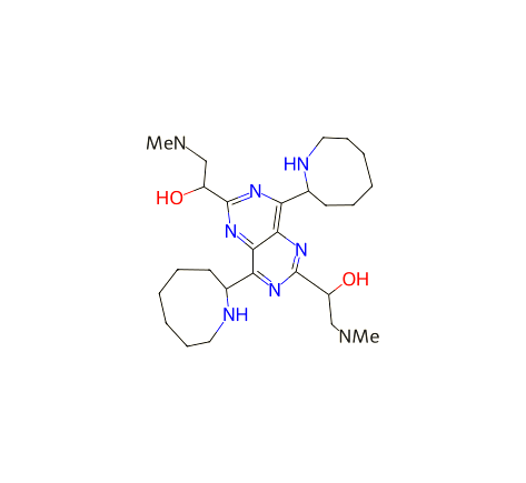 CNCC(O)c1nc(C2CCCCCCN2)c2nc(C(O)CNC)nc(C3CCCCCCN3)c2n1